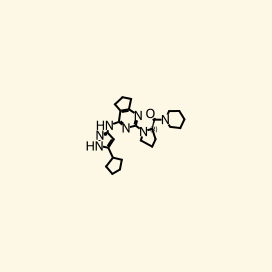 O=C([C@H]1CCCN1c1nc2c(c(Nc3cc(C4CCCC4)[nH]n3)n1)CCC2)N1CCCCC1